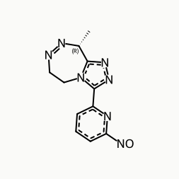 C[C@H]1N=NCCn2c(-c3cccc(N=O)n3)nnc21